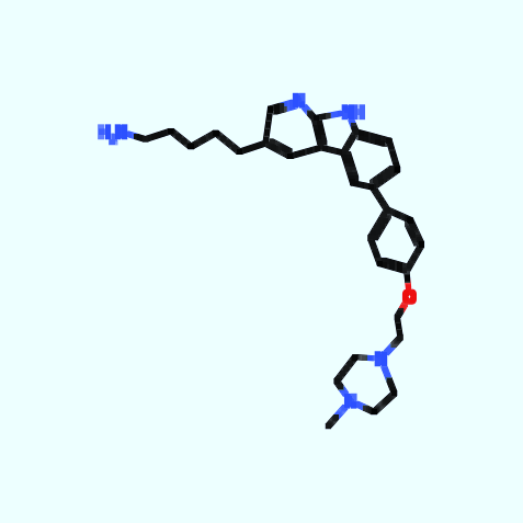 CN1CCN(CCOc2ccc(-c3ccc4[nH]c5ncc(CCCCCN)cc5c4c3)cc2)CC1